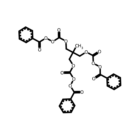 CC(COC(=O)OOC(=O)c1ccccc1)(COC(=O)OOC(=O)c1ccccc1)COC(=O)OOC(=O)c1ccccc1